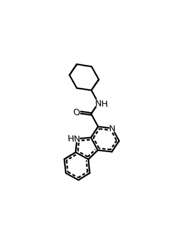 O=C(NC1CCCCC1)c1nccc2c1[nH]c1ccccc12